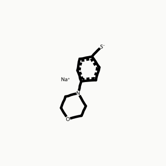 [Na+].[S-]c1ccc(N2CCOCC2)cc1